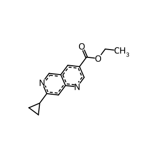 CCOC(=O)c1cnc2cc(C3CC3)ncc2c1